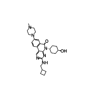 CN1CCN(c2ccc3c(c2)c(=O)n([C@H]2CC[C@H](O)CC2)c2nc(NCC4CCC4)ncc32)CC1